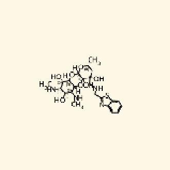 CN[C@@H]1[C@H](O)[C@H](NC)[C@H]2O[C@]3(O)[C@H](O[C@@H]2[C@H]1O)O[C@H](C)C[C@@]3(O)CNCc1nc2ccccc2s1